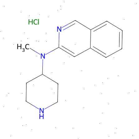 CN(c1cc2ccccc2cn1)C1CCNCC1.Cl